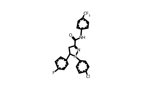 O=C(Nc1ccc(C(F)(F)F)cc1)C1=NN(c2ccc(Cl)cc2)C(c2ccc(F)cc2)C1